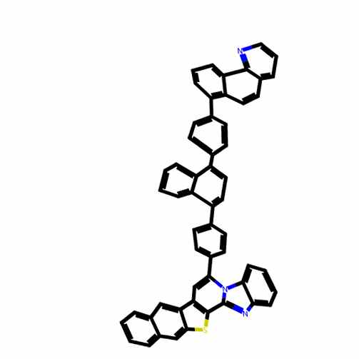 c1ccc2cc3c(cc2c1)sc1c3cc(-c2ccc(-c3ccc(-c4ccc(-c5cccc6c5ccc5cccnc56)cc4)c4ccccc34)cc2)n2c3ccccc3nc12